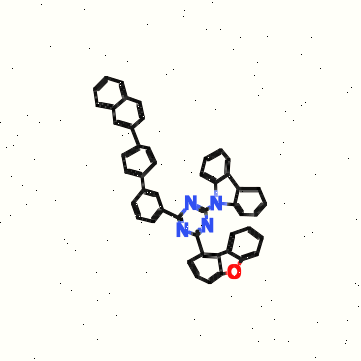 c1cc(-c2ccc(-c3ccc4ccccc4c3)cc2)cc(-c2nc(-c3cccc4oc5ccccc5c34)nc(-n3c4ccccc4c4ccccc43)n2)c1